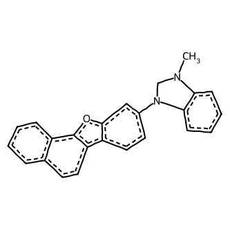 CN1CN(c2ccc3c(c2)oc2c4ccccc4ccc32)c2ccccc21